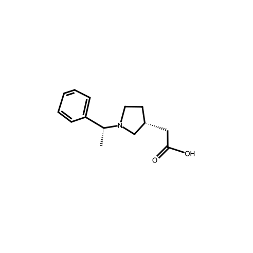 C[C@H](c1ccccc1)N1CC[C@H](CC(=O)O)C1